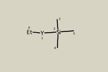 C[CH2][Y][Si](C)(C)C